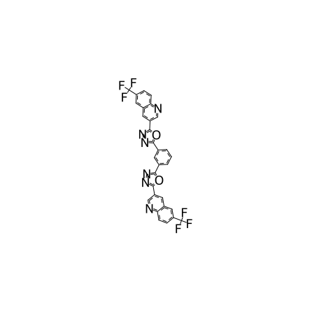 FC(F)(F)c1ccc2ncc(-c3nnc(-c4cccc(-c5nnc(-c6cnc7ccc(C(F)(F)F)cc7c6)o5)c4)o3)cc2c1